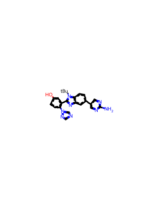 CC(C)(C)n1c(-c2cc(O)ccc2-n2cncn2)nc2cc(-c3cnc(N)nc3)ccc21